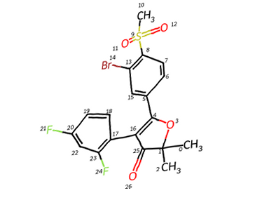 CC1(C)OC(c2ccc(S(C)(=O)=O)c(Br)c2)=C(c2ccc(F)cc2F)C1=O